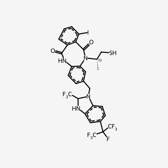 C[C@@H](CS)N1C(=O)c2c(I)cccc2C(=O)Nc2ccc(CN3c4ccc(C(F)(C(F)(F)F)C(F)(F)F)cc4NC3C(F)(F)F)cc21